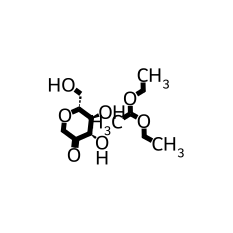 CCOC(C)OCC.O=C1CO[C@H](CO)[C@@H](O)[C@@H]1O